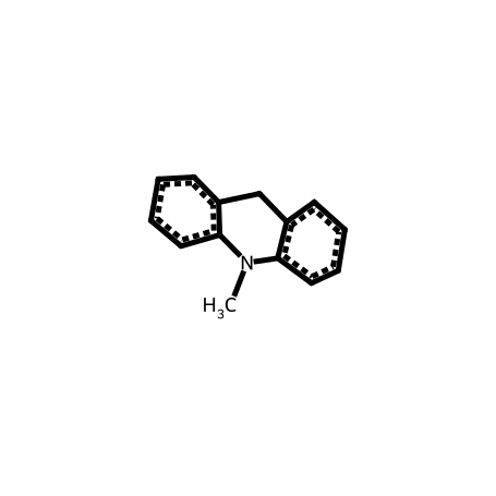 CN1c2ccccc2Cc2ccccc21